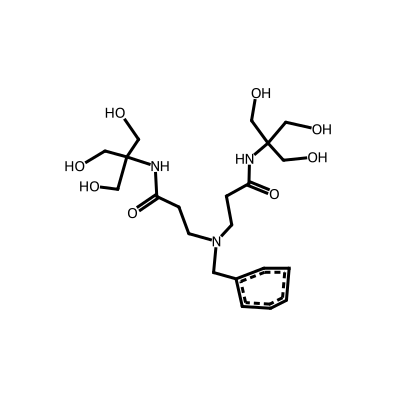 O=C(CCN(CCC(=O)NC(CO)(CO)CO)Cc1ccccc1)NC(CO)(CO)CO